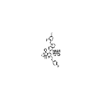 O=C1c2c(nc(CCc3ccc(F)cc3)c(-c3n[nH]c(=O)o3)c2-c2ccc3c(c2)CCCN3Cc2ccc(F)cc2F)[C@@H]2CCCN12